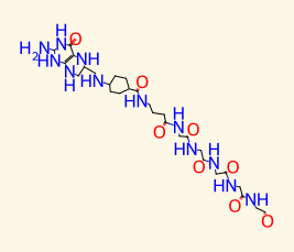 NC1NC(=O)C2=C(NCC(CNC3CCC(C(=O)NCCCC(=O)NCC(=O)NCC(=O)NCC(=O)NCC(=O)NCC=O)CC3)N2)N1